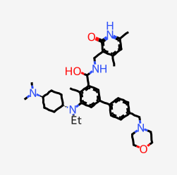 CCN(c1cc(-c2ccc(CN3CCOCC3)cc2)cc(C(O)NCc2c(C)cc(C)[nH]c2=O)c1C)[C@H]1CC[C@H](N(C)C)CC1